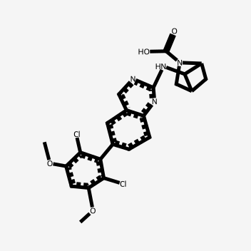 COc1cc(OC)c(Cl)c(-c2ccc3nc(NC4C5CC4N(C(=O)O)C5)ncc3c2)c1Cl